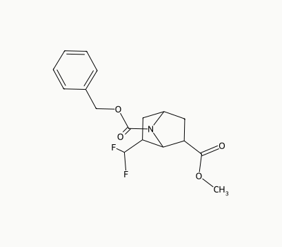 COC(=O)C1CC2CC(C(F)F)C1N2C(=O)OCc1ccccc1